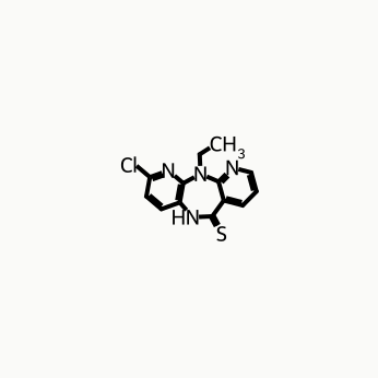 CCN1c2nc(Cl)ccc2NC(=S)c2cccnc21